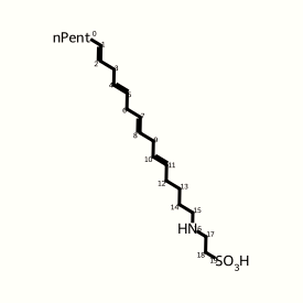 CCCCCC=CCC=CCC=CCC=CCCCCNCCS(=O)(=O)O